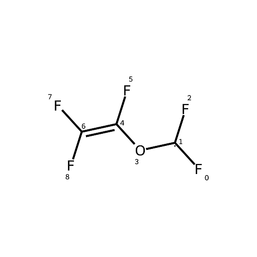 F[C](F)OC(F)=C(F)F